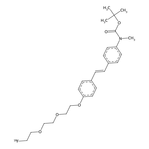 CN(C(=O)OC(C)(C)C)c1ccc(/C=C/c2ccc(OCCOCCOCC[18F])cc2)cc1